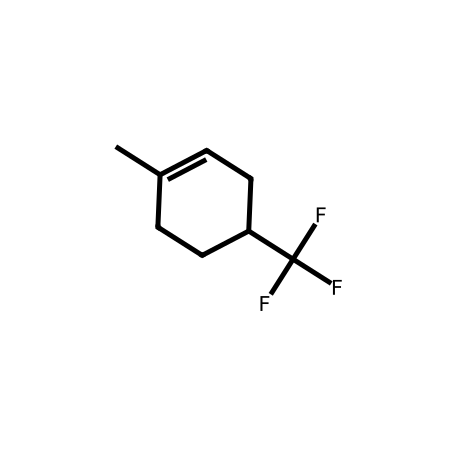 CC1=CCC(C(F)(F)F)CC1